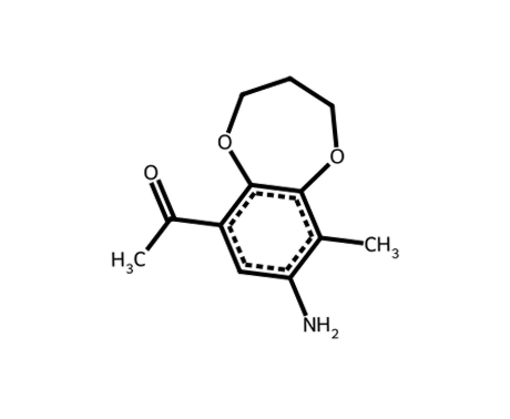 CC(=O)c1cc(N)c(C)c2c1OCCCO2